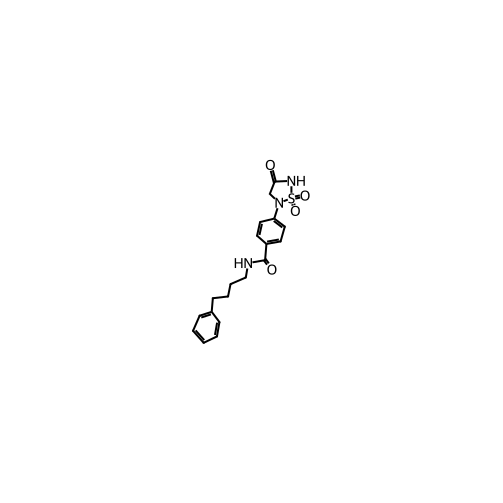 O=C1CN(c2ccc(C(=O)NCCCCc3ccccc3)cc2)S(=O)(=O)N1